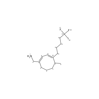 CC1CCC/C(CN)=C\C=C/1CCCCC(F)(F)I